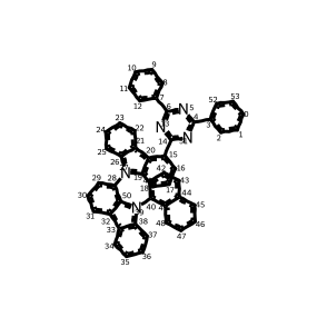 c1ccc(-c2nc(-c3ccccc3)nc(-c3cccc4c3c3ccccc3n4-c3cccc4c5ccccc5n(-c5cccc6ccccc56)c34)n2)cc1